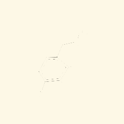 Nc1ccc(CO[SiH3])cc1